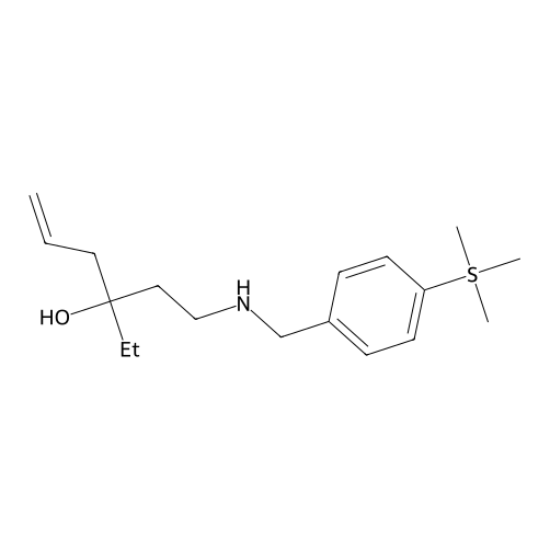 C=CCC(O)(CC)CCNCc1ccc(S(C)(C)C)cc1